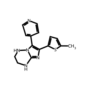 Cc1ccc(-c2nc3n(c2-c2ccncc2)NCCN3)s1